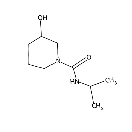 CC(C)NC(=O)N1CCCC(O)C1